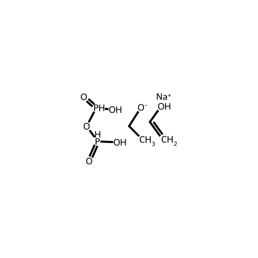 C=CO.CC[O-].O=[PH](O)O[PH](=O)O.[Na+]